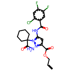 C=CCOC(=O)c1cc(NC(=O)c2cc(F)c(F)cc2Cl)n(C2(C(N)=O)CCCCC2)n1